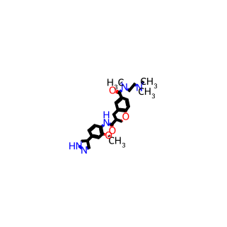 COc1cc(C2C=NNC2)ccc1NC(=O)C1COc2ccc(C(=O)N(C)CCN(C)C)cc2C1